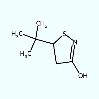 CC(C)(C)C1CC(O)=NS1